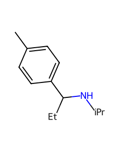 CCC(NC(C)C)c1ccc(C)cc1